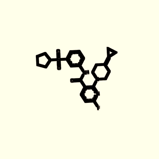 O=C(Nc1cccc(S(=O)(=O)C2CCCC2)c1)c1ccc(F)nc1N1CCC(=C2CC2)CC1